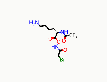 NCCCC[C@H](NC(=O)C(F)(F)F)C(=O)ONC(=O)CBr